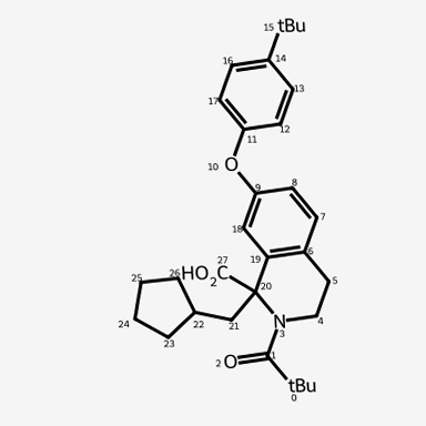 CC(C)(C)C(=O)N1CCc2ccc(Oc3ccc(C(C)(C)C)cc3)cc2C1(CC1CCCC1)C(=O)O